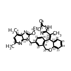 CCOc1nc2c(C)cc(C)nc2n1Cc1ccc2c(c1)COc1ccccc1C2=C(C)c1noc(=O)[nH]1